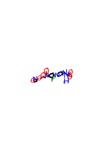 COC(=O)NN=C1CCN(c2ccc(N3CC(COc4ccon4)OC3=O)cc2F)CC1